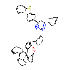 C1=CC2=C(CC1)c1ccccc1C21c2ccccc2Oc2c(-c3cccc(-c4nc(-c5ccccc5)cc(-c5ccc6c(c5)sc5ccccc56)n4)c3)cccc21